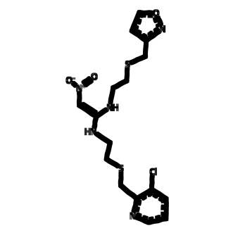 O=[N+]([O-])C=C(NCCSCc1ccon1)NCCSCc1ncccc1Cl